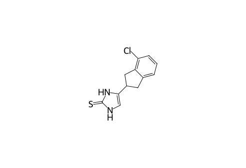 S=c1[nH]cc(C2Cc3cccc(Cl)c3C2)[nH]1